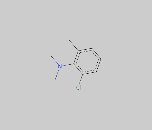 Cc1cccc(Cl)c1N(C)C